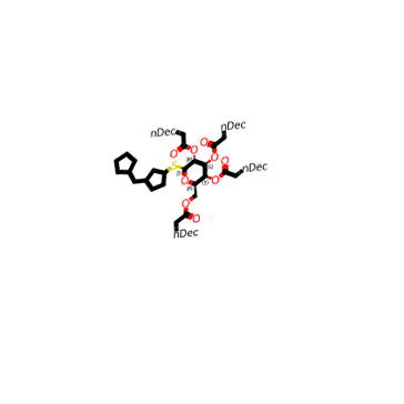 CCCCCCCCCCCC(=O)OC[C@H]1O[C@@H](SC2CCC(CC3CCCC3)C2)[C@H](OC(=O)CCCCCCCCCCC)[C@@H](OC(=O)CCCCCCCCCCC)[C@H]1OC(=O)CCCCCCCCCCC